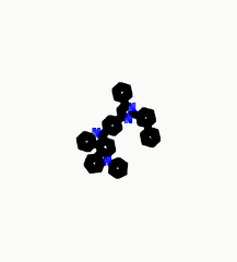 c1ccc(-c2cccc(-c3nc(-c4ccccc4)cc(-c4ccc(-c5nc6ccccc6c6c5ccc5c6c6ccccc6n5-c5ccccc5)cc4)n3)c2)cc1